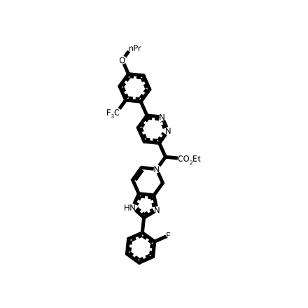 CCCOc1ccc(-c2ccc(C(C(=O)OCC)N3C=Cc4[nH]c(-c5ccccc5F)nc4C3)nn2)c(C(F)(F)F)c1